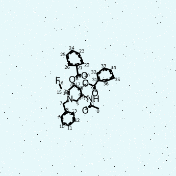 CC(=O)N[C@H]1CN(Cc2ccccc2)[C@H](CF)[C@@H](OC(=O)c2ccccc2)[C@@H]1OC(=O)c1ccccc1